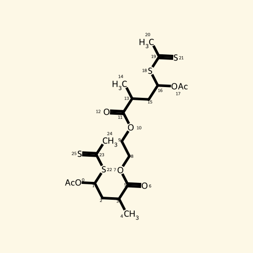 CC(=O)OC(CC(C)C(=O)OCCOC(=O)C(C)CC(OC(C)=O)SC(C)=S)SC(C)=S